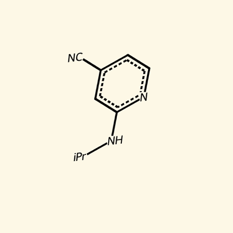 CC(C)Nc1cc(C#N)ccn1